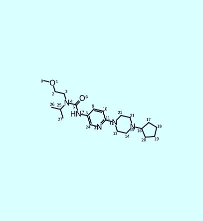 COCCN(C(=O)Nc1ccc(N2CCN(C3CCCC3)CC2)nc1)C(C)C